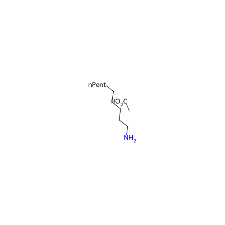 CC(=O)O.CCCCCCCCCCN